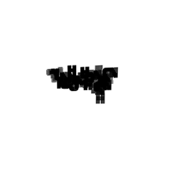 CN(C)Cc1nsc(NC(=O)N2C[C@H]3C[C@H](N(C)c4c(C#N)cnc5[nH]ccc45)C[C@H]3C2)n1